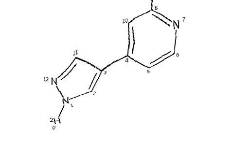 [2H]n1cc(-c2ccnc(C)c2)cn1